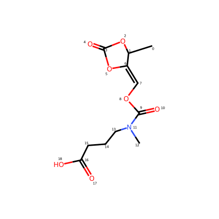 CC1OC(=O)OC1=COC(=O)N(C)CCCC(=O)O